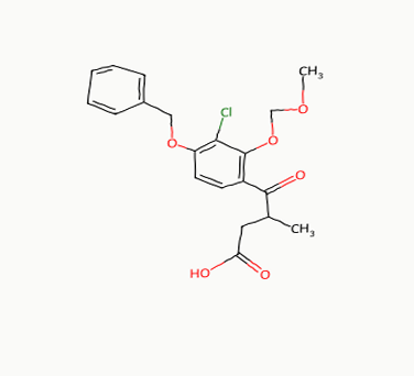 COCOc1c(C(=O)C(C)CC(=O)O)ccc(OCc2ccccc2)c1Cl